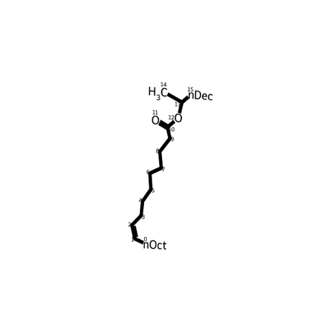 CCCCCCCC/C=C\CCCCCCCC(=O)OC(C)CCCCCCCCCC